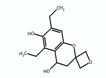 CCc1cc2c(c(CC)c1O)C(O)CC1(COC1)O2